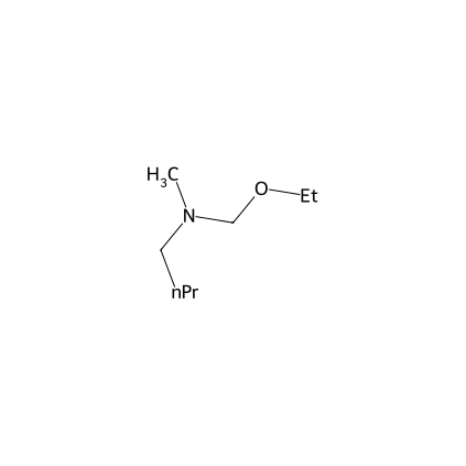 CCCCN(C)COCC